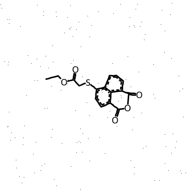 CCOC(=O)CSc1ccc2c3c(cccc13)C(=O)OC2=O